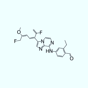 C=C(F)/C(=C\C=C(/CF)OC)c1cnc2c(Nc3ccc(C=O)c(CC)c3)nccn12